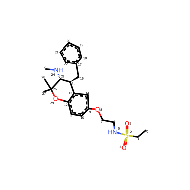 CCS(=O)(=O)NCCOc1ccc2c(c1)[C@H](Cc1ccccc1)[C@@H](NC)C(C)(C)O2